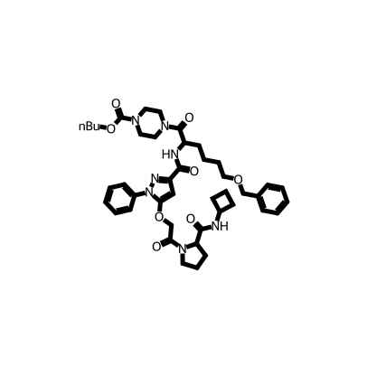 CCCCOC(=O)N1CCN(C(=O)C(CCCCOCc2ccccc2)NC(=O)c2cc(OCC(=O)N3CCCC3C(=O)NC3CCC3)n(-c3ccccc3)n2)CC1